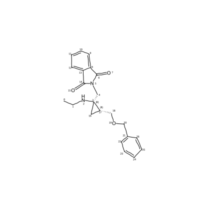 CCN[C@]1(CN2C(=O)c3ccccc3C2=O)C[C@H]1COCc1ccccc1